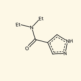 CCN(CC)C(=O)c1cn[nH]c1